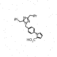 CC(C)Cc1nc(CC(C)C)n(Cc2ccc(-n3cccc3C(=O)O)cc2)n1